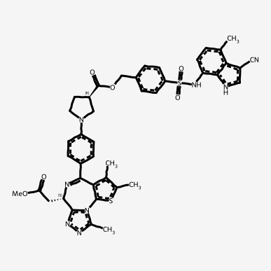 COC(=O)C[C@@H]1N=C(c2ccc(N3CC[C@@H](C(=O)OCc4ccc(S(=O)(=O)Nc5ccc(C)c6c(C#N)c[nH]c56)cc4)C3)cc2)c2c(sc(C)c2C)-n2c(C)nnc21